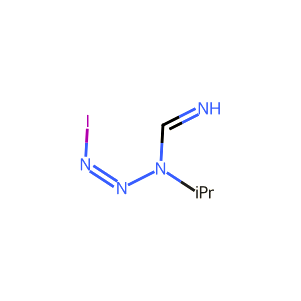 CC(C)N(C=N)/N=N\I